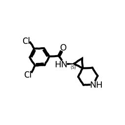 O=C(N[C@H]1CC12CCNCC2)c1cc(Cl)cc(Cl)c1